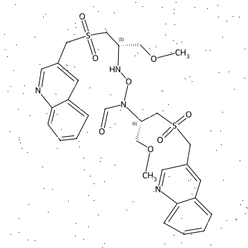 COC[C@@H](CS(=O)(=O)Cc1cnc2ccccc2c1)NON(C=O)[C@@H](COC)CS(=O)(=O)Cc1cnc2ccccc2c1